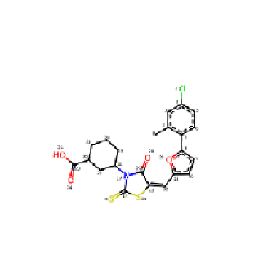 Cc1cc(Cl)ccc1-c1ccc(C=C2SC(=S)N(C3CCCC(C(=O)O)C3)C2=O)o1